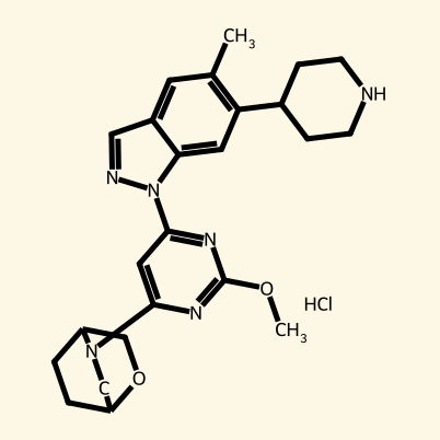 COc1nc(N2CC3CCC2CO3)cc(-n2ncc3cc(C)c(C4CCNCC4)cc32)n1.Cl